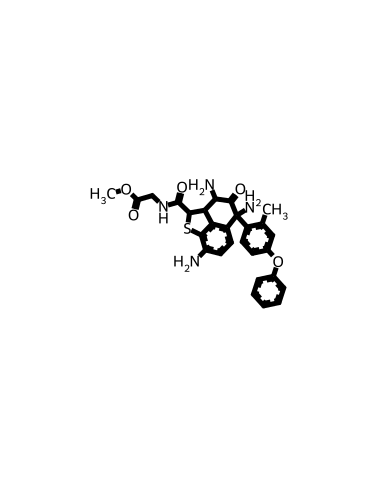 COC(=O)CNC(=O)C1Sc2c(N)ccc3c2C1C(N)C(=O)C3(N)c1ccc(Oc2ccccc2)cc1C